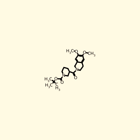 COc1cc2c(cc1OC)CN(C(=O)C1CCCN(C(=O)OC(C)(C)C)C1)CC2